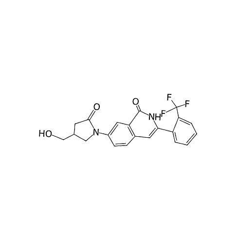 O=C1CC(CO)CN1c1ccc2cc(-c3ccccc3C(F)(F)F)[nH]c(=O)c2c1